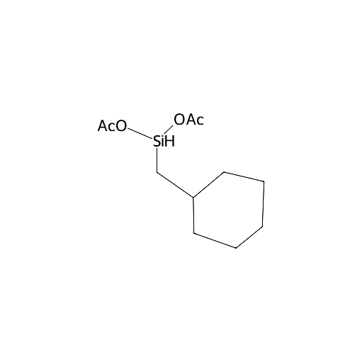 CC(=O)O[SiH](CC1CCCCC1)OC(C)=O